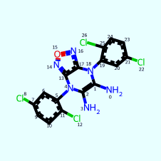 NC1=C(N)N(c2cc(Cl)ccc2Cl)c2nonc2N1c1cc(Cl)ccc1Cl